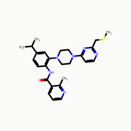 CSCc1nccc(N2CCN(c3cc(C(C)C)ccc3NC(=O)c3cccnc3C)CC2)n1